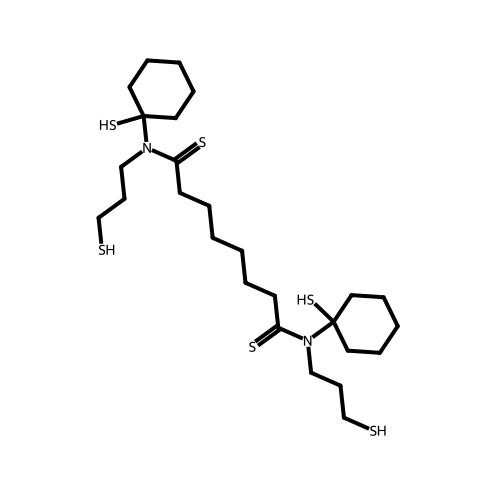 S=C(CCCCCCC(=S)N(CCCS)C1(S)CCCCC1)N(CCCS)C1(S)CCCCC1